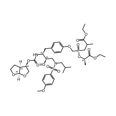 CCOC(=O)C(C)CP(=O)(COc1ccc(C[C@H](NC(=O)O[C@H]2CO[C@H]3OCC[C@H]32)[C@H](O)CN(CC(C)C)S(=O)(=O)c2ccc(OC)cc2)cc1)O[C@H](C)C(=O)OCC